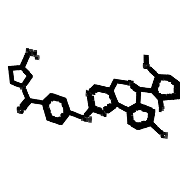 COc1cccc(F)c1C1=NCc2cnc(Nc3ccc(C(=O)N4CCC(N)C4)cc3)nc2-c2ccc(Cl)cc21